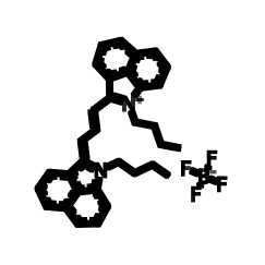 CCCCn1/c(=C\C=C\C2=[N+](CCCC)c3cccc4cccc2c34)c2cccc3cccc1c32.F[B-](F)(F)F